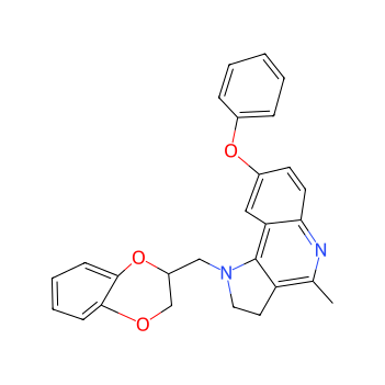 Cc1nc2ccc(Oc3ccccc3)cc2c2c1CCN2CC1COc2ccccc2O1